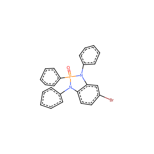 O=P1(c2ccccc2)N(c2ccccc2)c2ccc(Br)cc2N1c1ccccc1